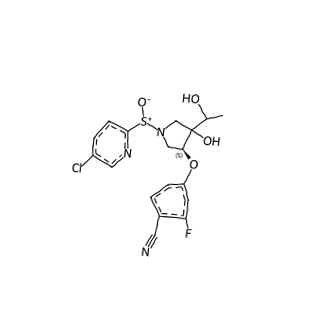 CC(O)C1(O)CN([S+]([O-])c2ccc(Cl)cn2)C[C@@H]1Oc1ccc(C#N)c(F)c1